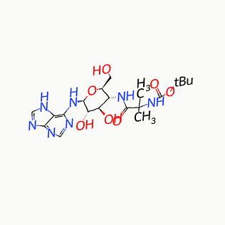 CC(C)(C)OC(=O)NC(C)(C)C(=O)N[C@@H]1[C@@H](O)[C@H](O)[C@@H](Nc2ncnc3nc[nH]c23)O[C@H]1CO